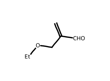 C=C(C=O)COCC